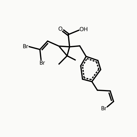 CC1(C)C(C=C(Br)Br)C1(Cc1ccc(C/C=C\Br)cc1)C(=O)O